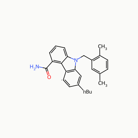 CCCCc1c[c]c2c3c(C(N)=O)cccc3n(Cc3cc(C)ccc3C)c2c1